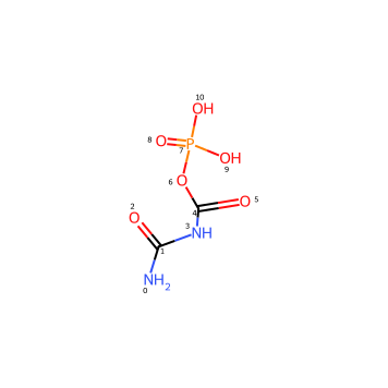 NC(=O)NC(=O)OP(=O)(O)O